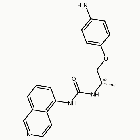 C[C@@H](COc1ccc(N)cc1)NC(=O)Nc1cccc2cnccc12